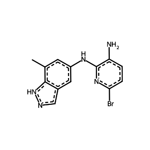 Cc1cc(Nc2nc(Br)ccc2N)cc2cn[nH]c12